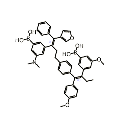 CC/C(=C(/c1ccc(CC/C(=C(/c2ccccc2)c2ccoc2)c2cc(B(O)O)cc(N(C)C)c2)cc1)c1ccc(OC)cc1)c1cc(OC)cc(B(O)O)c1